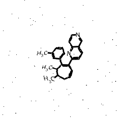 Cc1cccc(C2=C(c3ccc4cnccc4n3)C=CCC(C)C2C)c1